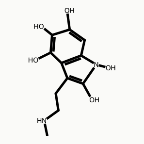 CNCCc1c(O)n(O)c2cc(O)c(O)c(O)c12